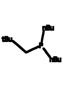 CCCCP(CCCC)CC(C)(C)C